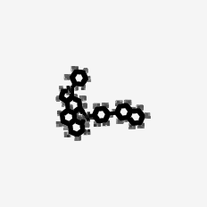 c1ccc(-n2ccc3c4ccc5cccc6c5c4c(cc32)n6-c2ccc(-c3ccc4ccccc4c3)cc2)cc1